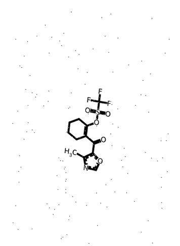 Cc1ncoc1C(=O)C1=C(OS(=O)(=O)C(F)(F)F)CCCC1